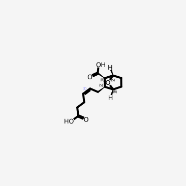 O=C(O)CC/C=C\C[C@H]1[C@@H](C(=O)O)[C@@H]2CC[C@H]1O2